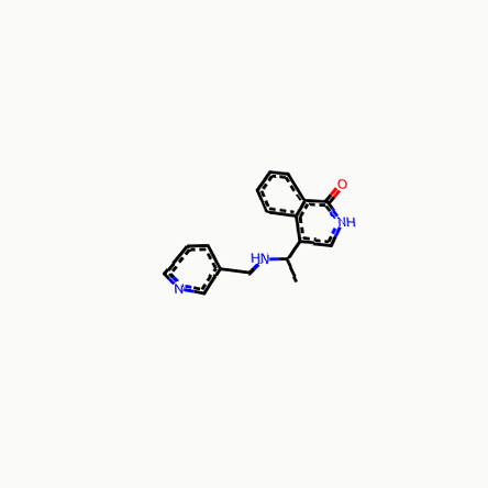 CC(NCc1cccnc1)c1c[nH]c(=O)c2ccccc12